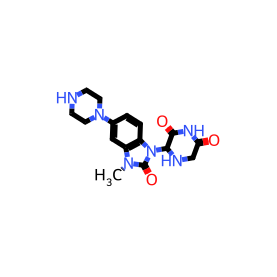 Cn1c(=O)n(C2NCC(=O)NC2=O)c2ccc(N3CCNCC3)cc21